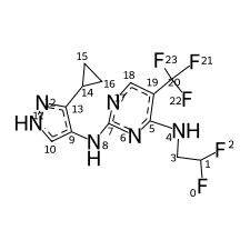 FC(F)CNc1nc(Nc2c[nH]nc2C2CC2)ncc1C(F)(F)F